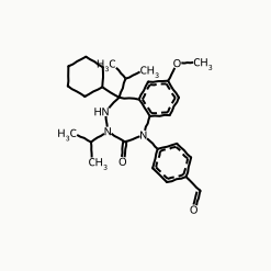 COc1ccc2c(c1)C(C(C)C)(C1CCCCC1)NN(C(C)C)C(=O)N2c1ccc(C=O)cc1